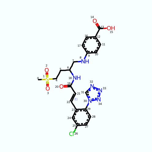 CS(=O)(=O)CCC(CNc1ccc(C(=O)O)cc1)NC(=O)/C=C/c1cc(Cl)ccc1-n1cnnn1